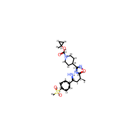 C[C@@H](CC(=N)c1ccc(S(C)(=O)=O)cc1)c1nc(C2CCN(C(=O)OC3(C)CC3)CC2)no1